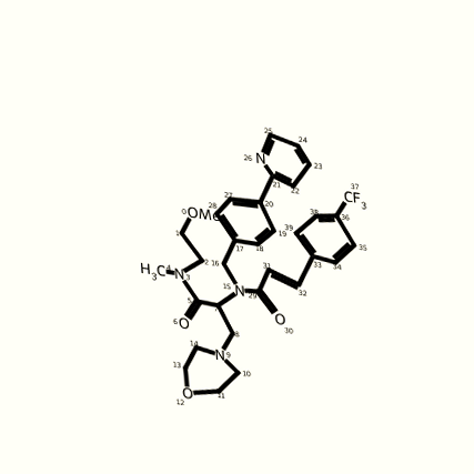 COCCN(C)C(=O)C(CN1CCOCC1)N(Cc1ccc(-c2ccccn2)cc1)C(=O)C=Cc1ccc(C(F)(F)F)cc1